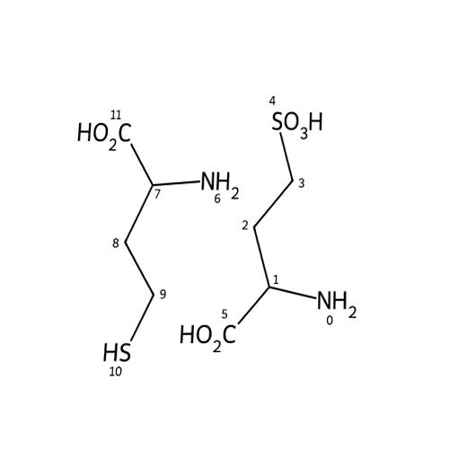 NC(CCS(=O)(=O)O)C(=O)O.NC(CCS)C(=O)O